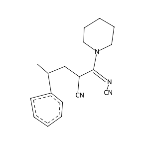 CC(CC(C#N)C(=NC#N)N1CCCCC1)c1ccccc1